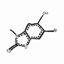 Cn1c(=O)oc2cc(Br)c(O)cc21